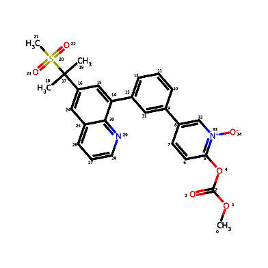 COC(=O)Oc1ccc(-c2cccc(-c3cc(C(C)(C)S(C)(=O)=O)cc4cccnc34)c2)c[n+]1[O-]